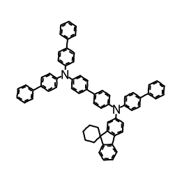 c1ccc(-c2ccc(N(c3ccc(-c4ccccc4)cc3)c3ccc(-c4ccc(N(c5ccc(-c6ccccc6)cc5)c5ccc6c(c5)C5(CCCCC5)c5ccccc5-6)cc4)cc3)cc2)cc1